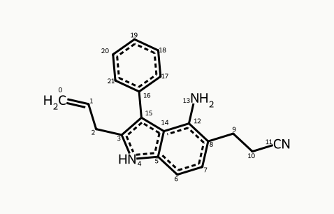 C=CCc1[nH]c2ccc(CCC#N)c(N)c2c1-c1ccccc1